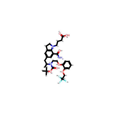 CC(Cc1cc2c(c(C(N)=O)c1)N(CCCC(=O)O)CC2)N(CCOc1ccccc1OCC(F)(F)F)C(=O)OC(C)(C)C